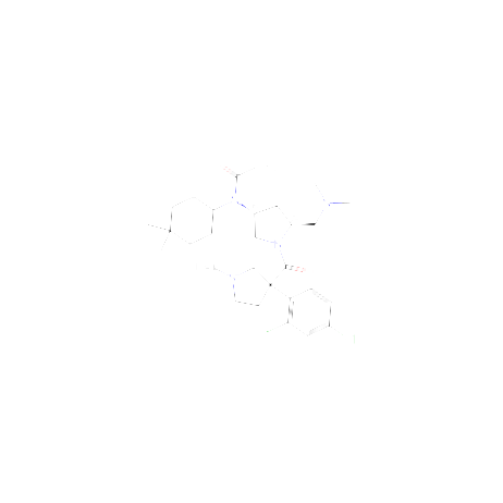 CN(C)C[C@@H]1C[C@H](N(C(=O)C(C)(C)C)C2CCC(C)(C)CC2)CN1C(=O)C1(c2ccc(Cl)cc2Cl)CCN(C(C)(C)C)C1